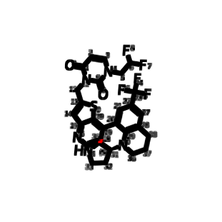 O=c1ccn(CC(F)F)c(=O)n1Cc1cc2nccc(-c3cc(C(F)(F)F)cc4c3N([C@H]3CCNC3)CCC4)c2s1